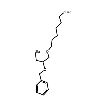 CCCCCCCCCCCCCCCCOCC(CC(C)(C)C)OCc1ccccc1